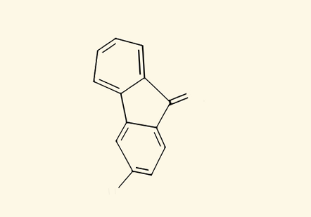 C=C1c2ccccc2-c2cc(CC)ccc21